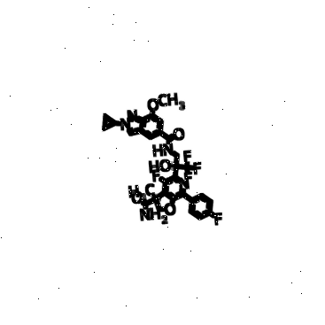 COc1cc(C(=O)NC[C@](O)(c2nc(-c3ccc(F)cc3)c3c(c2F)[C@](C)(C(N)=O)CO3)C(F)(F)F)cc2cn(C3CC3)nc12